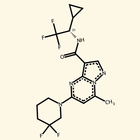 Cc1cc(N2CCCC(F)(F)C2)nc2c(C(=O)N[C@@H](C3CC3)C(F)(F)F)cnn12